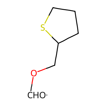 O=[C]OCC1CCCS1